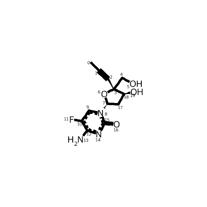 CC#C[C@]1(CO)O[C@@H](n2cc(F)c(N)nc2=O)C[C@@H]1O